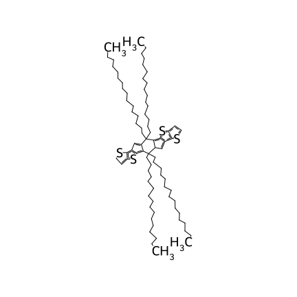 CCCCCCCCCCCCCCCCC1(CCCCCCCCCCCCCCCC)C2=Cc3c4c(sc3=C2C(CCCCCCCCCCCCCCCC)(CCCCCCCCCCCCCCCC)C2C=c3c(sc5ccsc35)=C21)=CCS4